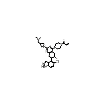 C=CC(=O)N1CCN(c2nc(N3CC(CN(C)C)C3)nc3c2C[C@@H](C)C(c2c(Cl)ccc4[nH]ncc24)C3)CC1